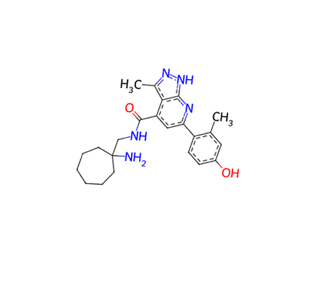 Cc1cc(O)ccc1-c1cc(C(=O)NCC2(N)CCCCCC2)c2c(C)n[nH]c2n1